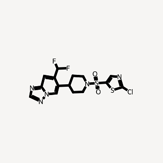 O=S(=O)(c1cnc(Cl)s1)N1CCC(c2cn3ncnc3cc2C(F)F)CC1